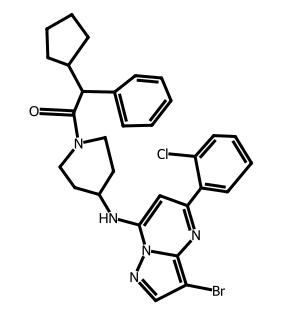 O=C(C(c1ccccc1)C1CCCC1)N1CCC(Nc2cc(-c3ccccc3Cl)nc3c(Br)cnn23)CC1